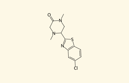 CN1CC(c2nc3cc(Cl)ccc3s2)N(C)CC1=O